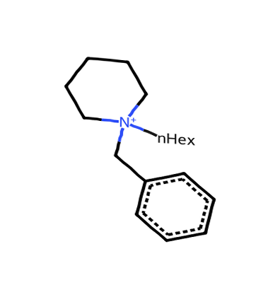 CCCCCC[N+]1(Cc2ccccc2)CCCCC1